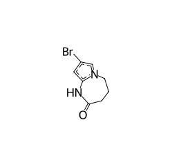 O=C1CCCn2cc(Br)cc2N1